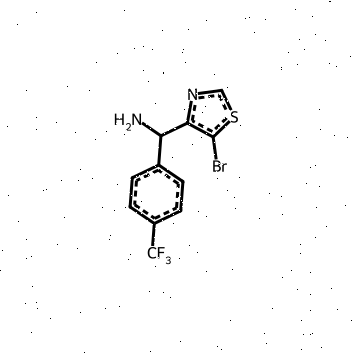 NC(c1ccc(C(F)(F)F)cc1)c1ncsc1Br